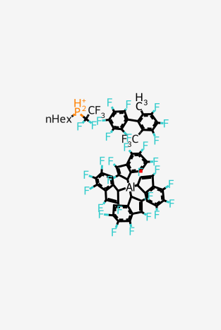 CCCCCC[PH2+]C(F)(F)C(F)(F)F.Cc1c(F)c(F)c(F)c(C(F)(F)F)c1-c1c(F)c(F)c(F)c(F)c1F.FC1=C(F)[CH]([Al-]([CH]2C(F)=C(F)c3c2cc(F)c(F)c3F)([CH]2C(F)=C(F)c3c2cc(F)c(F)c3F)[CH]2C(F)=C(F)c3c2cc(F)c(F)c3F)c2cc(F)c(F)c(F)c21